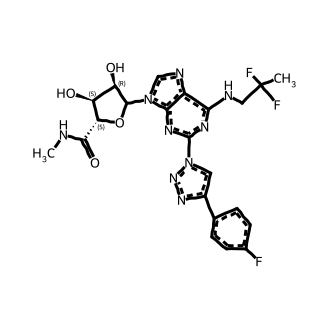 CNC(=O)[C@H]1OC(n2cnc3c(NCC(C)(F)F)nc(-n4cc(-c5ccc(F)cc5)nn4)nc32)[C@H](O)[C@@H]1O